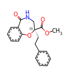 COC(=O)[C@]1(CCc2ccccc2)CNC(=O)c2ccccc2O1